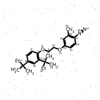 CCC(C)(C)c1ccc(OCCOc2ccc([N+]#N)c(C)c2)c(C(C)(C)CC)c1